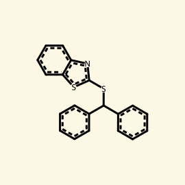 c1ccc(C(Sc2nc3ccccc3s2)c2ccccc2)cc1